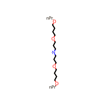 CCCOCCCCOCCC[N]CCCOCCCCOCCC